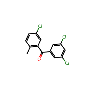 Cc1ccc(Cl)cc1C(=O)c1cc(Cl)cc(Cl)c1